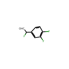 O=CC(F)c1ccc(F)c(F)c1